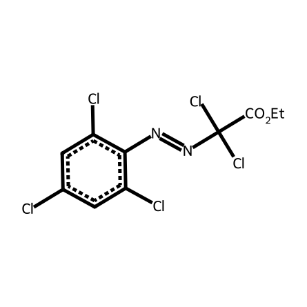 CCOC(=O)C(Cl)(Cl)N=Nc1c(Cl)cc(Cl)cc1Cl